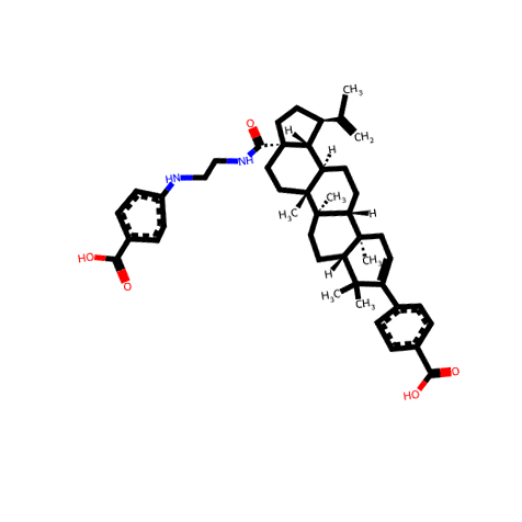 C=C(C)[C@@H]1CC[C@]2(C(=O)NCCNc3ccc(C(=O)O)cc3)CC[C@]3(C)[C@H](CC[C@@H]4[C@@]5(C)CC=C(c6ccc(C(=O)O)cc6)C(C)(C)[C@@H]5CC[C@]43C)[C@@H]12